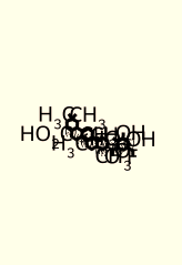 C[C@@H]1C2CC[C@]3(C)C(CC=C4C5CC(C)(C)CC[C@]5(C(=O)O)CC[C@]43C)[C@@]2(C)CC[C@H]1C(=O)[C@@H]1OC(CF)[C@@H](O)C(O)C1O